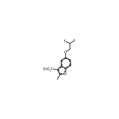 CCOC(=O)c1c(C)oc2ccc(OCC(F)F)cc12